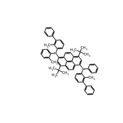 Cc1ccccc1N(c1cccc(-c2ccccc2)c1C)c1cc(C(C)(C)C)c2ccc3c(N(c4ccccc4)c4cccc(-c5ccccc5)c4C)cc(C(C)(C)C)c4ccc1c2c34